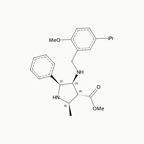 COC(=O)[C@H]1[C@H](NCc2cc(C(C)C)ccc2OC)[C@H](c2ccccc2)N[C@@H]1C